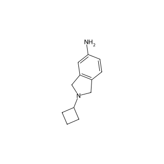 Nc1ccc2c(c1)CN(C1CCC1)C2